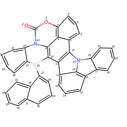 O=c1oc2cccc3c2c2c(c4c5cccc6c7ccccc7n(c65)c34)B(c3cccc4ccccc34)c3ccccc3-n12